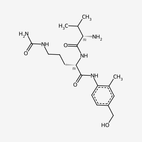 Cc1cc(CO)ccc1NC(=O)[C@H](CCCNC(N)=O)NC(=O)[C@@H](N)C(C)C